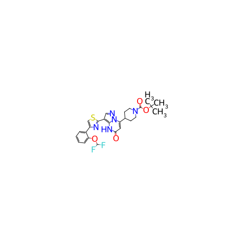 CC(C)(C)OC(=O)N1CCC(c2cc(=O)[nH]c3c(-c4nc(-c5ccccc5OC(F)F)cs4)cnn23)CC1